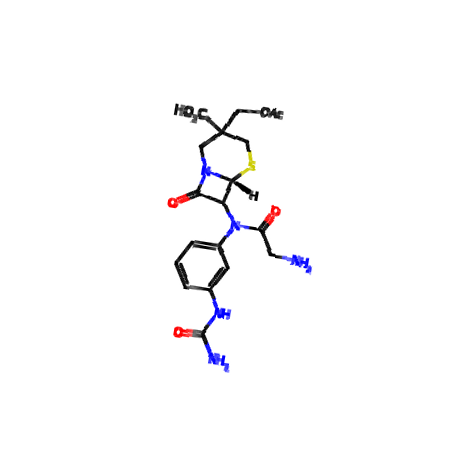 CC(=O)OCC1(C(=O)O)CS[C@@H]2C(N(C(=O)CN)c3cccc(NC(N)=O)c3)C(=O)N2C1